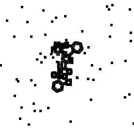 CSc1ccccc1-c1nc(C(=O)NS(=O)(=O)c2ccccc2Cl)cn1C